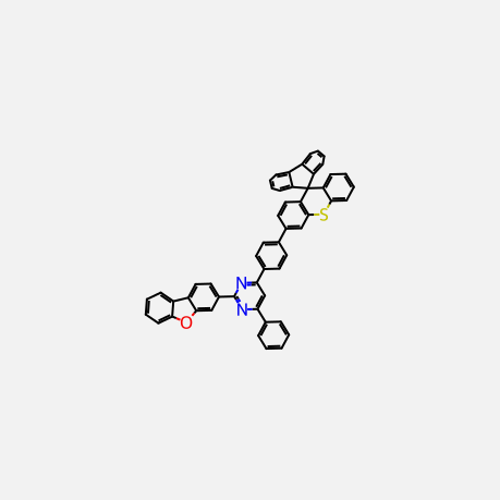 c1ccc(-c2cc(-c3ccc(-c4ccc5c(c4)Sc4ccccc4C54c5ccccc5-c5ccccc54)cc3)nc(-c3ccc4c(c3)oc3ccccc34)n2)cc1